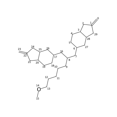 C=C1CC2CCC(CC(CCCCCOC)CC3CCC4CC(=C)CC4C3)CC2C1